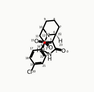 O=c1[nH][nH]c2c1[C@@H]1CCCC(C2)N1S(=O)(=O)c1ccc(Cl)cc1